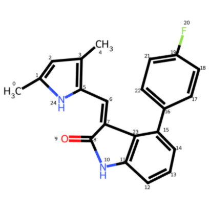 Cc1cc(C)c(C=C2C(=O)Nc3cccc(-c4ccc(F)cc4)c32)[nH]1